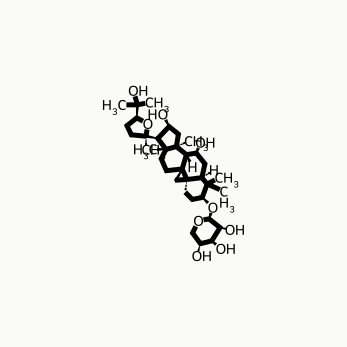 CC(C)(O)[C@@H]1CC[C@](C)([C@H]2[C@@H](O)C[C@@]3(C)[C@@H]4[C@@H](O)C[C@H]5C(C)(C)[C@@H](O[C@@H]6OC[C@@H](O)[C@H](O)[C@H]6O)CC[C@@]56C[C@@]46CC[C@]23C)O1